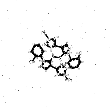 CC(C)n1nnc(-c2cnn(-c3ccccc3Cl)c2SSc2c(-c3nnn(C(C)C)n3)cnn2-c2ccccc2Cl)n1